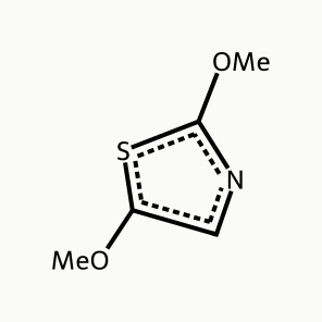 COc1cnc(OC)s1